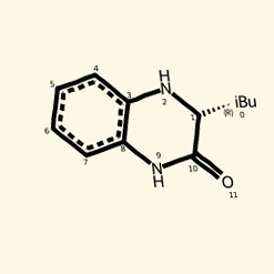 CC[C@@H](C)C1Nc2ccccc2NC1=O